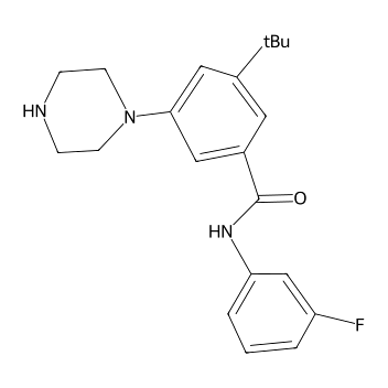 CC(C)(C)c1cc(C(=O)Nc2cccc(F)c2)cc(N2CCNCC2)c1